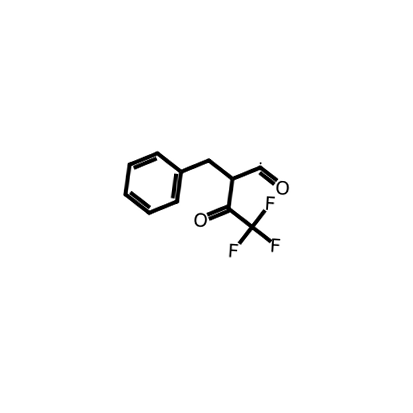 O=[C]C(Cc1ccccc1)C(=O)C(F)(F)F